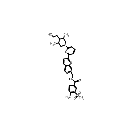 Cc1ccc(C(=O)NCc2cc3nc(-c4cccc(N5CC(C)C(CCO)C(C)C5)n4)ccc3cn2)cc1S(C)(=O)=O